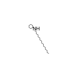 CCCCCCCCCCCCCCCCNC1CCCCC1